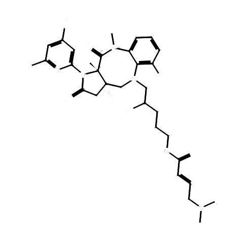 Cc1cc(C(F)(F)F)cc(N2C(=O)C[C@@H]3CN(CC(F)CCCNC(=O)/C=C/CN(C)C)c4c(Cl)cccc4N(C)C(=O)[C@H]32)n1